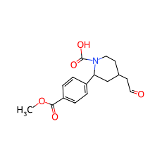 COC(=O)c1ccc(C2CC(CC=O)CCN2C(=O)O)cc1